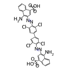 Nc1c(/N=N/c2c(Cl)cc(-c3cc(Cl)c(/N=N/c4cc(S(=O)(=O)O)c5ccccc5c4N)c(Cl)c3)cc2Cl)cc(S(=O)(=O)O)c2ccccc12